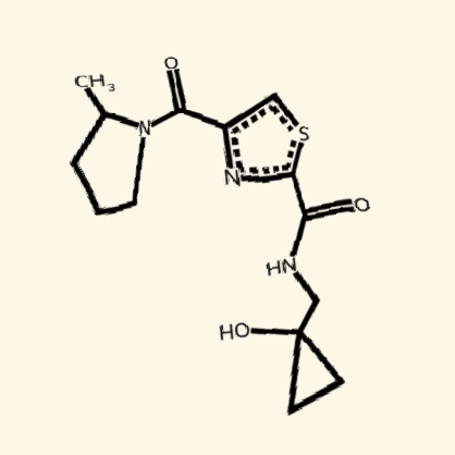 CC1CCCN1C(=O)c1csc(C(=O)NCC2(O)CC2)n1